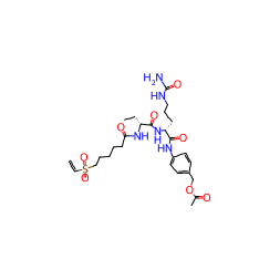 C=CS(=O)(=O)CCCCCC(=O)N[C@H](CC)C(=O)N[C@H](CCCNC(N)=O)C(=O)Nc1ccc(COC(C)=O)cc1